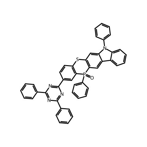 O=P1(c2ccccc2)c2cc(-c3nc(-c4ccccc4)nc(-c4ccccc4)n3)ccc2Sc2cc3c(cc21)c1ccccc1n3-c1ccccc1